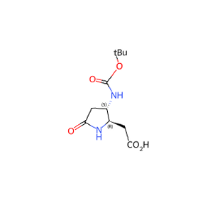 CC(C)(C)OC(=O)N[C@H]1CC(=O)N[C@@H]1CC(=O)O